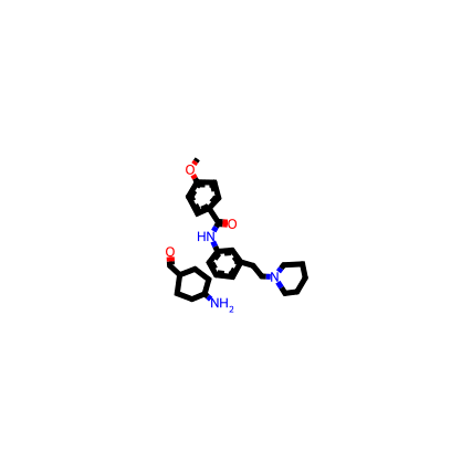 COc1ccc(C(=O)Nc2cccc(CCN3CCCCC3)c2)cc1.NC1CCC(C=O)CC1